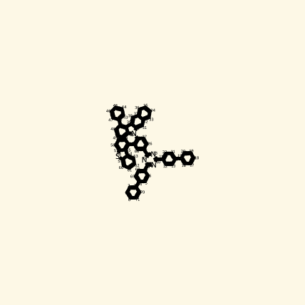 c1ccc(-c2ccc(-c3nc(-c4ccc(-c5ccccc5)cc4)nc(-c4ccc(-n5c6cc7ccccc7cc6c6c(-c7ccccc7)cccc65)c(-c5cccc6sc7ccccc7c56)c4)n3)cc2)cc1